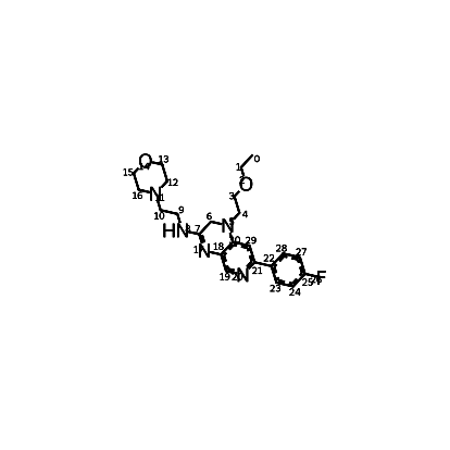 CCOCCN1CC(NCCN2CCOCC2)=Nc2cnc(-c3ccc(F)cc3)cc21